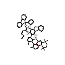 C=C/C=C\C1=C(C)N(c2ccccc2C2(C)c3ccccc3-c3ccccc32)c2c3c(cc(-c4ccc(C)c(-c5ccccc5C)c4Nc4ccc5c(c4)C(C)(C)CCC5(C)C)c2S1)-c1ccccc1C3